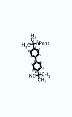 CCCCCC(C)(C)c1ccc(-c2ccc(C(C)(C)C#N)cc2)cc1